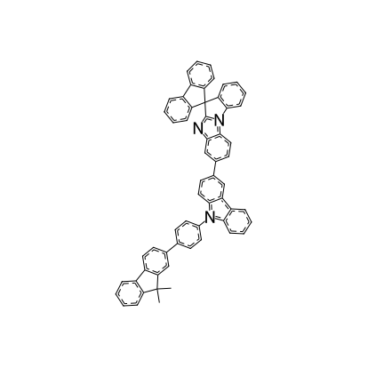 CC1(C)c2ccccc2-c2ccc(-c3ccc(-n4c5ccccc5c5cc(-c6ccc7c(c6)nc6n7-c7ccccc7C67c6ccccc6-c6ccccc67)ccc54)cc3)cc21